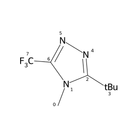 Cn1c(C(C)(C)C)nnc1C(F)(F)F